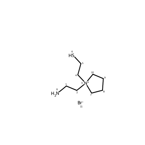 NCC[N+]1(CCS)CCCC1.[Br-]